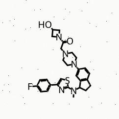 CN(c1nc(-c2ccc(F)cc2)cs1)C1CCc2ccc(N3CCN(CC(=O)N4CC(O)C4)CC3)cc21